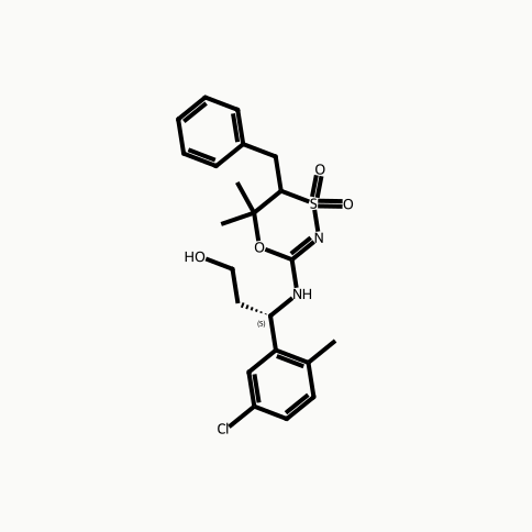 Cc1ccc(Cl)cc1[C@H](CCO)NC1=NS(=O)(=O)C(Cc2ccccc2)C(C)(C)O1